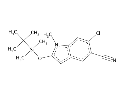 Cn1c(O[Si](C)(C)C(C)(C)C)cc2cc(C#N)c(Cl)cc21